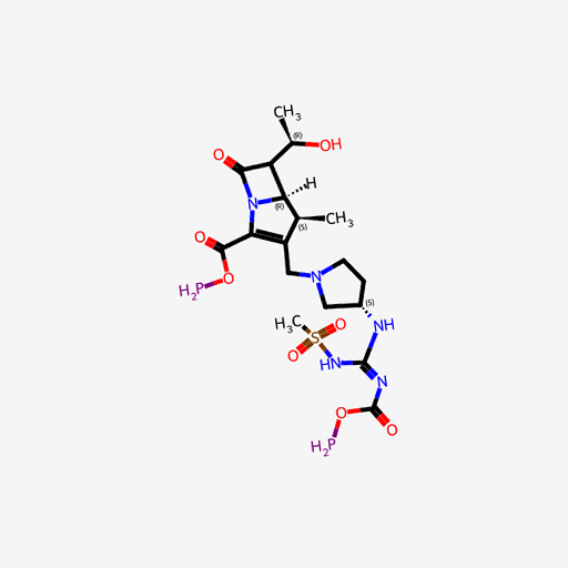 C[C@@H](O)C1C(=O)N2C(C(=O)OP)=C(CN3CC[C@H](NC(=NC(=O)OP)NS(C)(=O)=O)C3)[C@H](C)[C@H]12